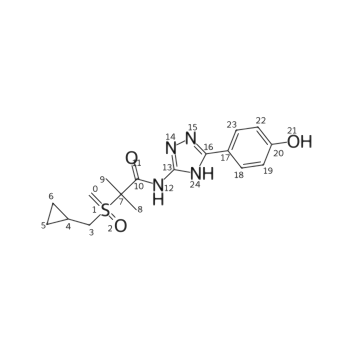 C=S(=O)(CC1CC1)C(C)(C)C(=O)Nc1nnc(-c2ccc(O)cc2)[nH]1